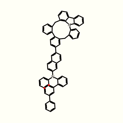 c1ccc(-c2cccc(-c3ccccc3N(c3ccccc3)c3ccc4cc(-c5ccc6c(c5)Cc5ccccc5-n5c7ccccc7c7cccc(c75)Cc5ccccc5-6)ccc4c3)c2)cc1